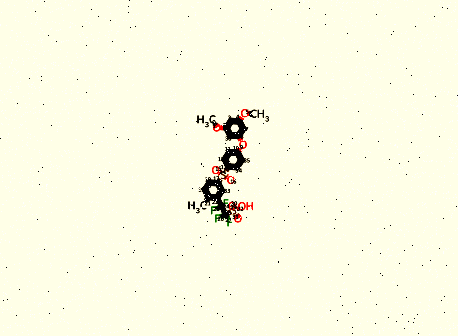 COc1cc(OC)cc(Oc2ccc(S(=O)(=O)c3ccc(C)c(C(F)(F)C(F)(F)S(=O)(=O)O)c3)cc2)c1